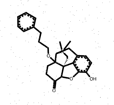 C[N+]1(C)CC[C@]23c4c5ccc(O)c4OC2C(=O)CCC3(OCCCc2ccccc2)C1C5